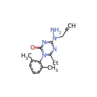 C#CCN(N)c1nc(CC)n(-c2c(C)cccc2C)c(=O)n1